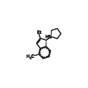 CCC1=Cc2c(C)cccc2C1[SiH]1CCCC1